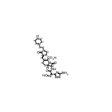 Nc1nc(/C(=N/O)C(=O)N[C@@H]2C(=O)N3C(C(=O)O)=C(C=C4CCN(CCN5CCNCC5)C4=O)CS[C@H]23)ns1